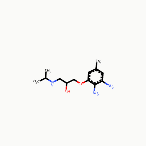 Cc1cc(N)c(N)c(OCC(O)CNC(C)C)c1